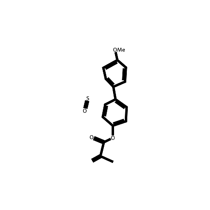 C=C(C)C(=O)Oc1ccc(-c2ccc(OC)cc2)cc1.O=S